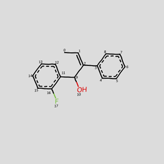 CC=C(c1ccccc1)C(O)c1ccccc1F